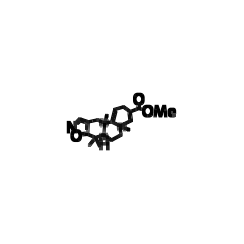 COC(=O)C1=C[C@]2(C)CC[C@H]3C(C)(C)c4oncc4C[C@]3(C)C2=CC1